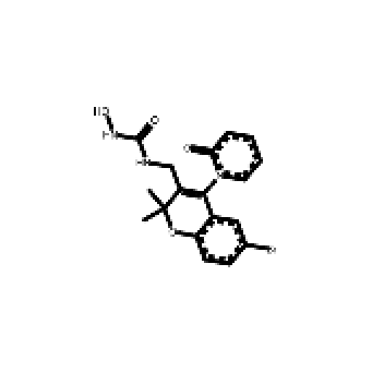 CC1(C)Oc2ccc(Br)cc2C(n2ccccc2=O)=C1CNC(=O)NO